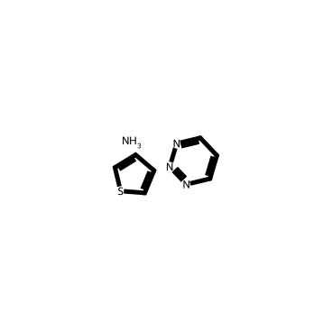 N.c1ccsc1.c1cnnnc1